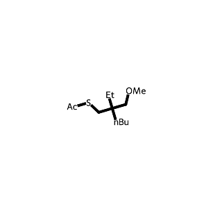 CCCCC(CC)(COC)CSC(C)=O